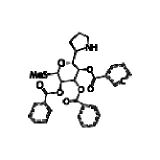 CSC1O[C@H]([C@H]2CCCN2)[C@@H](OC(=O)c2ccccc2)C(OC(=O)c2ccccc2)[C@H]1OC(=O)c1ccccc1